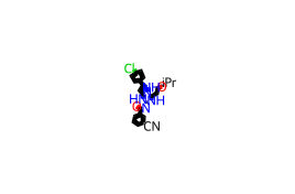 CC(C)OCCCN/C(=N/C(=O)c1cccc(C#N)c1)Nc1cc(-c2ccc(Cl)cc2)[nH]n1